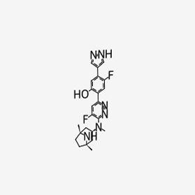 CN(c1nnc(-c2cc(F)c(-c3cn[nH]c3)cc2O)cc1F)[C@H]1C[C@]2(C)CC[C@](C)(C1)N2